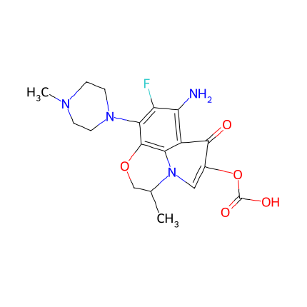 CC1COc2c(N3CCN(C)CC3)c(F)c(N)c3c(=O)c(OC(=O)O)cn1c23